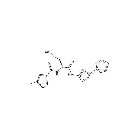 CSCC[C@H](NC(=O)c1ccn(C)c1)C(=O)Nc1nc(-c2ccccc2)cs1